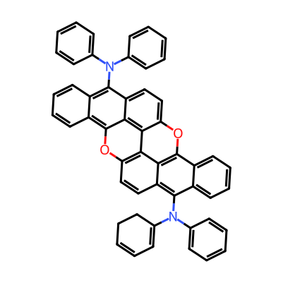 C1=CCCC(N(c2ccccc2)c2c3ccccc3c3oc4ccc5c(N(c6ccccc6)c6ccccc6)c6ccccc6c6oc7ccc2c3c7-c4c56)=C1